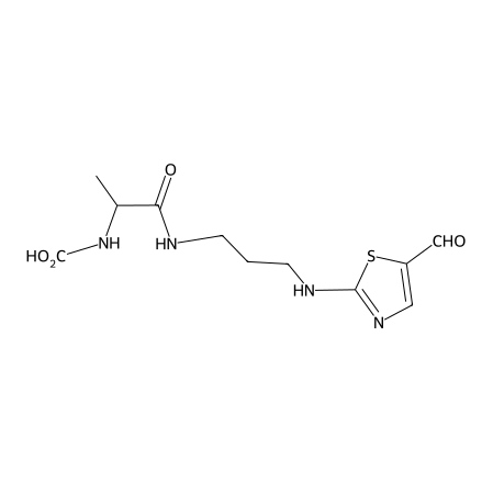 CC(NC(=O)O)C(=O)NCCCNc1ncc(C=O)s1